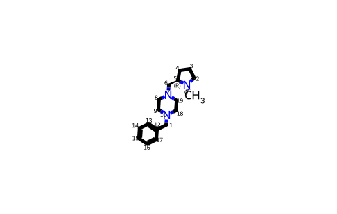 CN1CCC[C@@H]1CN1CCN(Cc2ccccc2)CC1